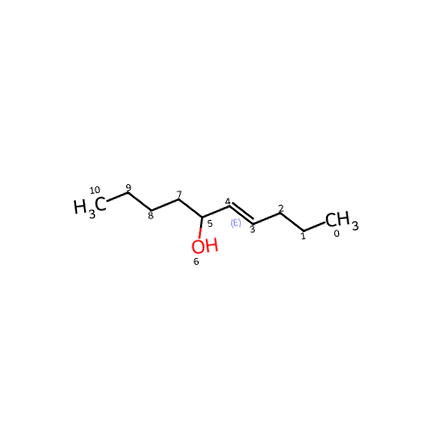 CCC/C=C/C(O)CCCC